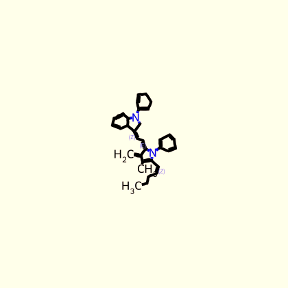 C=c1c(C)c(/C=C\CCC)n(-c2ccccc2)/c1=C/C=C1\CN(C2=CCCC=C2)C2C=CC=CC12